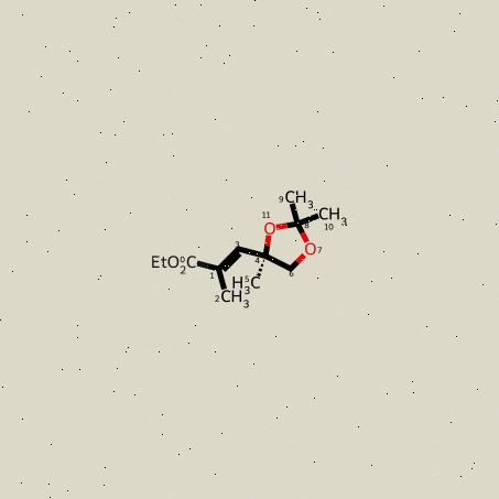 CCOC(=O)/C(C)=C/[C@]1(C)COC(C)(C)O1